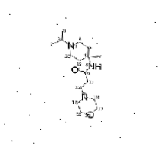 CC(C)N1CCC(C)(NC(=O)CCN2CCOCC2)CC1